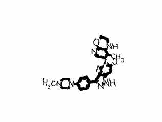 Cc1c(-n2nc3c(-c4ccc(N5CCN(C)CC5)cc4)n[nH]c3cc2=O)cnc2c1NCCO2